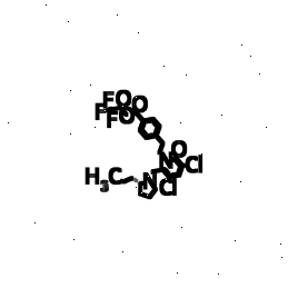 CCC[C@H]1CCCN1Cc1c(Cl)cc(Cl)c(=O)n1CCc1ccc(C(=O)OC(=O)C(F)(F)F)cc1